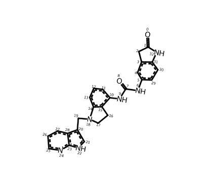 O=C1Cc2cc(NC(=O)Nc3cccc4c3CCN4Cc3c[nH]c4ncccc34)ccc2N1